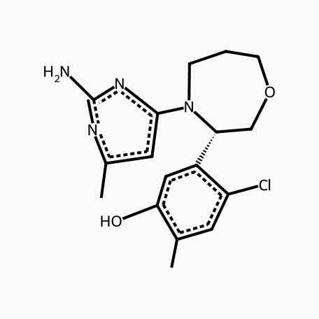 Cc1cc(N2CCCOC[C@@H]2c2cc(O)c(C)cc2Cl)nc(N)n1